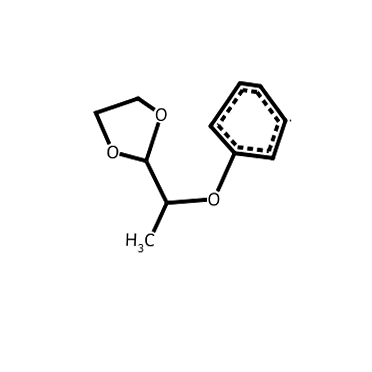 CC(Oc1c[c]ccc1)C1OCCO1